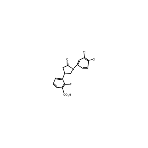 O=C(O)c1cccc(C2CC(=O)N(c3ccc(Cl)c(Cl)c3)C2)c1F